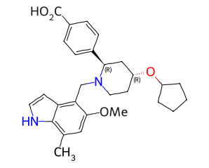 COc1cc(C)c2[nH]ccc2c1CN1CC[C@@H](OC2CCCC2)C[C@@H]1c1ccc(C(=O)O)cc1